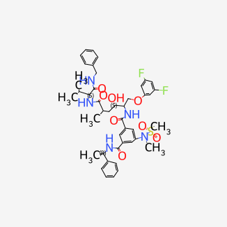 CC(C[C@H](O)C(COc1cc(F)cc(F)c1)NC(=O)c1cc(C(=O)N[C@H](C)c2ccccc2)cc(N(C)S(C)(=O)=O)c1)C(=O)N[C@H](C(=O)NCc1ccccc1)C(C)C